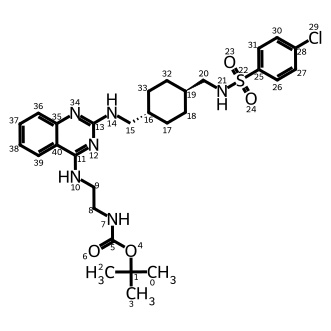 CC(C)(C)OC(=O)NCCNc1nc(NC[C@H]2CC[C@H](CNS(=O)(=O)c3ccc(Cl)cc3)CC2)nc2ccccc12